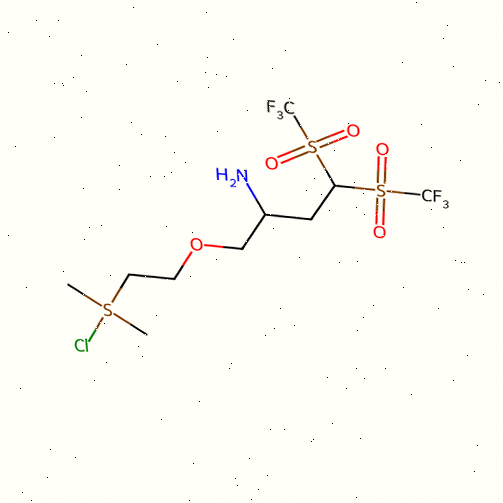 CS(C)(Cl)CCOCC(N)CC(S(=O)(=O)C(F)(F)F)S(=O)(=O)C(F)(F)F